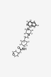 O=C(CC1CCOCC1)N[C@H]1CC[C@H](CCN2CCN(c3nccc4sccc34)CC2)CC1